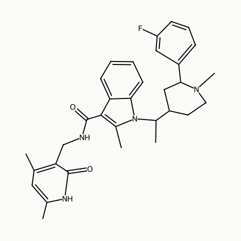 Cc1cc(C)c(CNC(=O)c2c(C)n(C(C)C3CCN(C)C(c4cccc(F)c4)C3)c3ccccc23)c(=O)[nH]1